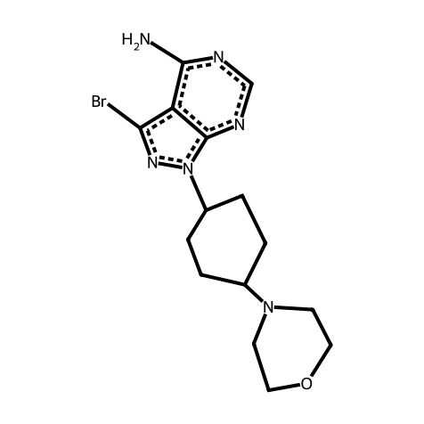 Nc1ncnc2c1c(Br)nn2C1CCC(N2CCOCC2)CC1